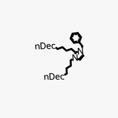 CCCCCCCCCCCCCCC1N(CCCCCCCCCCCCCC)C=CN1Cc1ccccc1